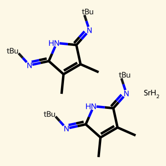 CC1=C(C)C(=NC(C)(C)C)NC1=NC(C)(C)C.CC1=C(C)C(=NC(C)(C)C)NC1=NC(C)(C)C.[SrH2]